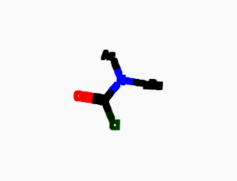 CCCCN(C(C)=O)C(=O)Cl